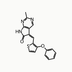 Cc1ncc2c(n1)NC(=O)C2=Cc1sccc1Oc1ccccc1